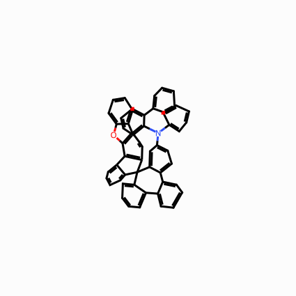 c1ccc(-c2ccccc2N(c2ccccc2)c2ccc3c(c2)C2(c4ccccc4-c4ccccc4-3)c3ccccc3-c3c2ccc2c3oc3ccccc32)cc1